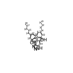 CCCCCc1ccc(C2(c3ccc(CCCCC)cc3O)C=Cc3[nH]nnc3C2)c(O)c1